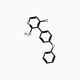 Nc1nccc(Cl)c1-c1ccc(Oc2ccccc2)cc1